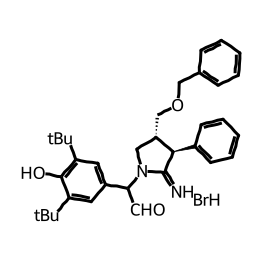 Br.CC(C)(C)c1cc(C(C=O)N2C[C@H](COCc3ccccc3)[C@@H](c3ccccc3)C2=N)cc(C(C)(C)C)c1O